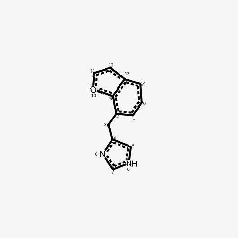 c1cc(Cc2c[nH]cn2)c2occc2c1